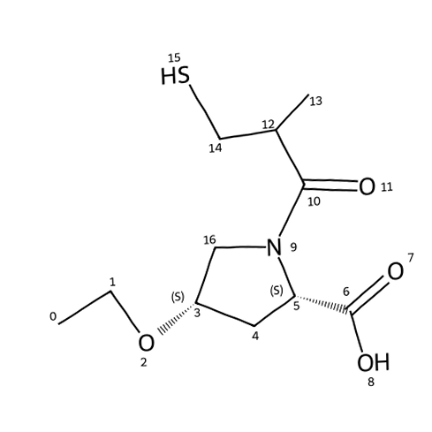 CCO[C@H]1C[C@@H](C(=O)O)N(C(=O)C(C)CS)C1